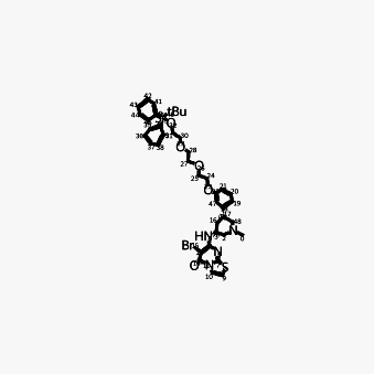 CN1C[C@H](Nc2nc3sccn3c(=O)c2Br)C[C@H](c2cccc(OCCOCCOCCO[Si](c3ccccc3)(c3ccccc3)C(C)(C)C)c2)C1